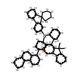 CC1(C)c2ccccc2-c2cccc(-c3ccccc3N(c3ccc(-c4cccc5c4ccc4ccccc45)cc3)c3ccc4c(c3)C3(CCCCC3)c3ccccc3-4)c21